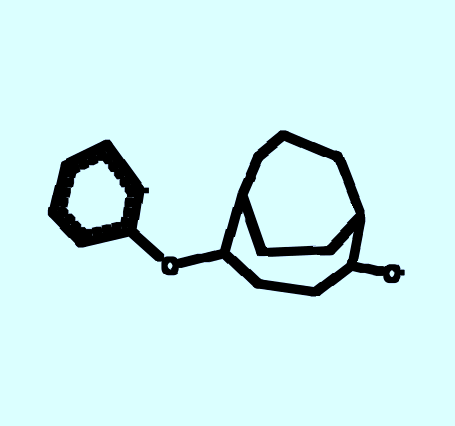 [O]C1CCC(Oc2[c]cccc2)C2CCCC1CC2